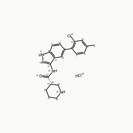 Cc1ccc(-c2ccc3[nH]nc(NC(=O)[C@H]4CCCNC4)c3c2)c(Cl)c1.Cl